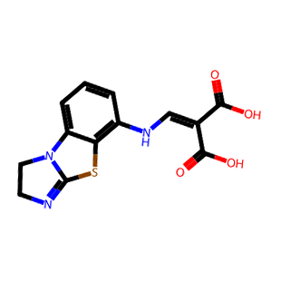 O=C(O)C(=CNc1cccc2c1SC1=NCCN12)C(=O)O